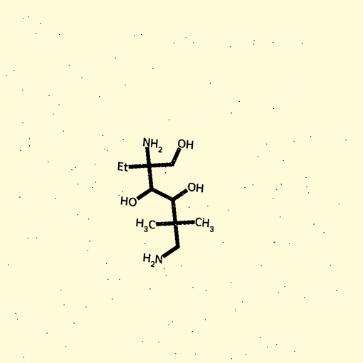 CCC(N)(CO)C(O)C(O)C(C)(C)CN